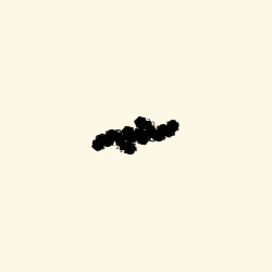 CC1(C)c2ccccc2N(c2cc3c4ccccc4c(N4c5ccccc5C(C)(C)c5cc6c(cc54)oc4ccc5c7ccc8ccccc8c7ccc5c46)cc3c3ccccc23)c2cc3oc4ccc5c6ccc7ccccc7c6ccc5c4c3cc21